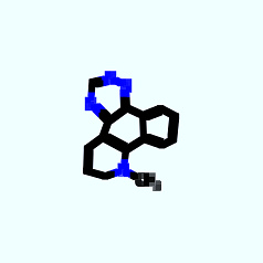 CN1CC=Cc2c1c1ccccc1c1nncnc21